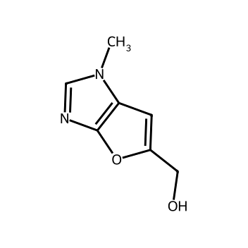 Cn1cnc2oc(CO)cc21